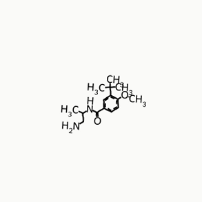 COc1ccc(C(=O)NC(C)CN)cc1C(C)(C)C